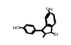 CCC1c2ccc(O)cc2C(c2ccc(O)cc2)C1C